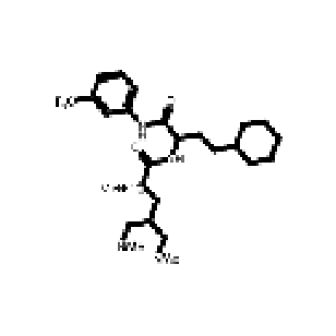 CNCC(CNC)C[C@H](NC)C(=O)NC(CCC1CCCCC1)C(=O)Nc1cccc(C(F)(F)F)c1